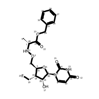 C[C@@H](NOC[C@H]1O[C@@H](n2ccc(=O)[nH]c2=O)[C@H](O)[C@@H]1CF)C(=O)OCc1ccccc1